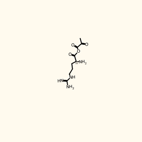 CC(=O)C(=O)OC(=O)[C@@H](N)CCCNC(=N)N